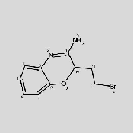 NC1=Nc2ccccc2OC1CCBr